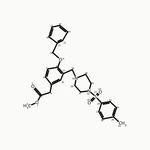 COC(=O)Cc1ccc(OCc2ccccc2)c(CN2CCN(S(=O)(=O)c3ccc(C)cc3)CC2)c1